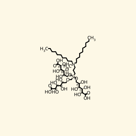 CCCCCCCCCC[N+](C)(CCCCCCCCCC)CCC[Si](COC[C@@H](O)[C@@H](O)[C@H](O)[C@@H](O)C(=O)O)(OC[C@@H](O)[C@@H](O)[C@H](O)[C@@H](O)C(=O)O)OC[C@@H](O)[C@@H](O)[C@H](O)[C@@H](O)C(=O)O